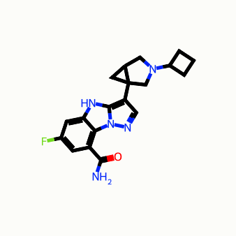 NC(=O)c1cc(F)cc2[nH]c3c(C45CC4CN(C4CCC4)C5)cnn3c12